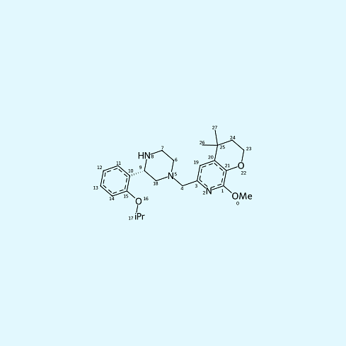 COc1nc(CN2CCN[C@@H](c3ccccc3OC(C)C)C2)cc2c1OCCC2(C)C